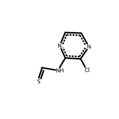 S=[C]Nc1nccnc1Cl